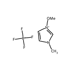 CO[n+]1ccn(C)c1.F[B-](F)(F)F